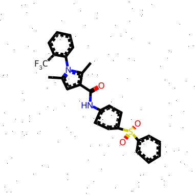 Cc1cc(C(=O)Nc2ccc(S(=O)(=O)c3ccccc3)cc2)c(C)n1-c1ccccc1C(F)(F)F